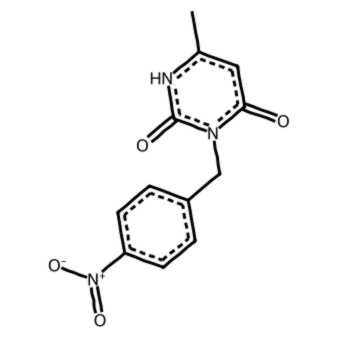 Cc1cc(=O)n(Cc2ccc([N+](=O)[O-])cc2)c(=O)[nH]1